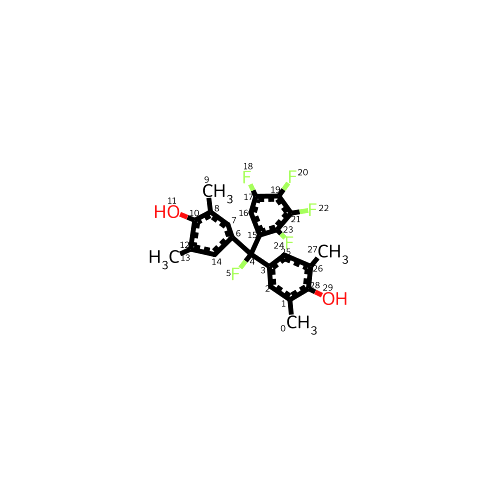 Cc1cc(C(F)(c2cc(C)c(O)c(C)c2)c2cc(F)c(F)c(F)c2F)cc(C)c1O